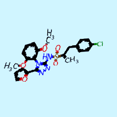 COc1cccc(OC)c1-n1c(NS(=O)(=O)C(C)Cc2ccc(Cl)cc2)nnc1-c1ccco1